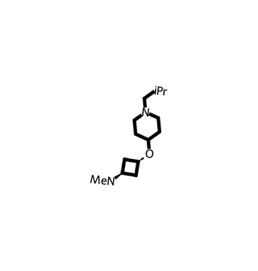 CN[C@H]1C[C@H](OC2CCN(CC(C)C)CC2)C1